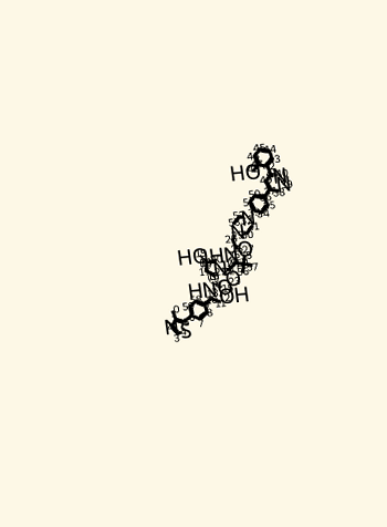 Cc1ncsc1-c1ccc(C(CO)NC(=O)[C@@H]2C[C@@H](O)CN2C(=O)[C@@H](NC(=O)CN2CCN(c3ccc(-c4cnnc(-c5ccccc5O)c4)cc3)CC2)C(C)(C)C)cc1